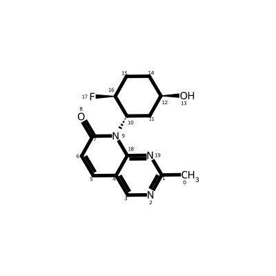 Cc1ncc2ccc(=O)n([C@H]3C[C@H](O)CC[C@@H]3F)c2n1